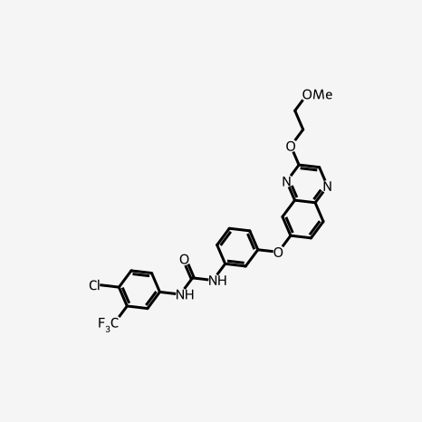 COCCOc1cnc2ccc(Oc3cccc(NC(=O)Nc4ccc(Cl)c(C(F)(F)F)c4)c3)cc2n1